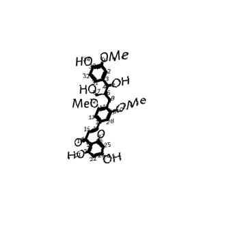 COc1cc(C(O)[C@H](CO)Cc2c(OC)cc(-c3cc(=O)c4c(O)cc(O)cc4o3)cc2OC)ccc1O